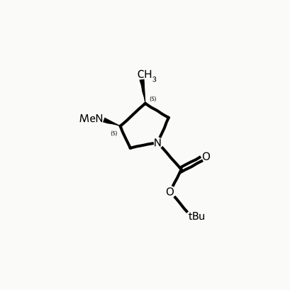 CN[C@@H]1CN(C(=O)OC(C)(C)C)C[C@@H]1C